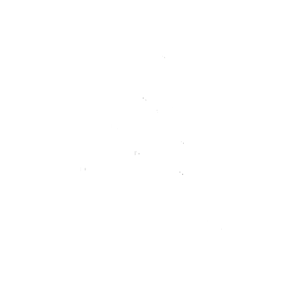 Cc1[nH]c2c(-c3cc(F)ccc3OCC3CC3)ncnc2c1C(=O)N[C@@H]1CCNC1.Cl